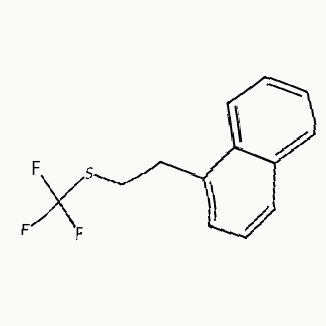 FC(F)(F)SCCc1cccc2ccccc12